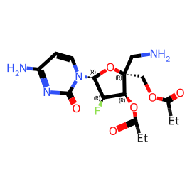 CCC(=O)OC[C@@]1(CN)O[C@@H](n2ccc(N)nc2=O)[C@H](F)[C@@H]1OC(=O)CC